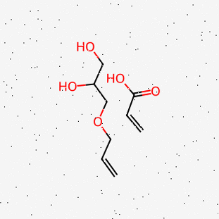 C=CC(=O)O.C=CCOCC(O)CO